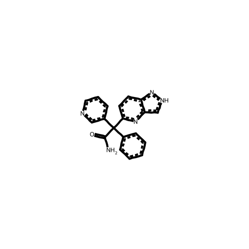 NC(=O)C(c1ccccc1)(c1cccnc1)c1ccc2n[nH]cc2n1